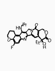 CC[C@@]1(O)C(=O)OCc2c1cc1n(c2=O)Cc2c-1nc1cc(F)c3c(c1c2NC(C)C)CCCO3